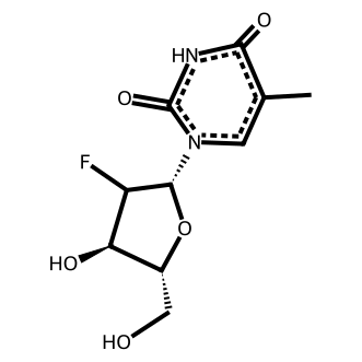 Cc1cn([C@@H]2O[C@H](CO)[C@@H](O)C2F)c(=O)[nH]c1=O